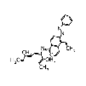 C=C/C(C)=C/C=C(N=Nc1ccc(N=Nc2ccccc2)c(C=C)c1/C=C\C)\C(O)=C\C